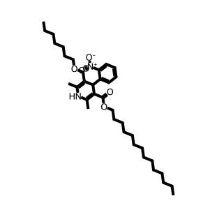 CCCCCCCCCCCCCCOC(=O)C1=C(C)NC(C)=C(C(=O)OCCCCCCC)C1c1ccccc1[N+](=O)[O-]